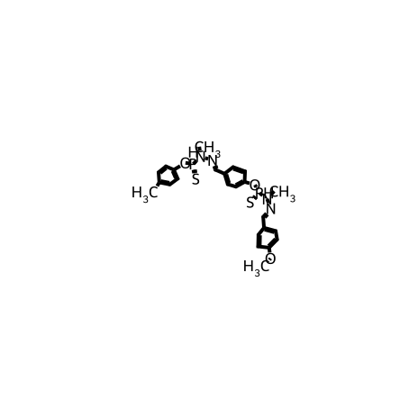 COc1ccc(/C=N/N(C)[PH](=S)Oc2ccc(/C=N/N(C)[PH](=S)Oc3ccc(C)cc3)cc2)cc1